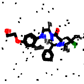 CC[C@@H](CNc1ccc(OCCO)cc1OC)NC(=O)[C@H](CC(C)(C)F)N[C@@H](c1ccccc1)C(F)(F)F